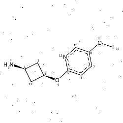 N[C@H]1C[C@@H](Oc2ccc(OI)cn2)C1